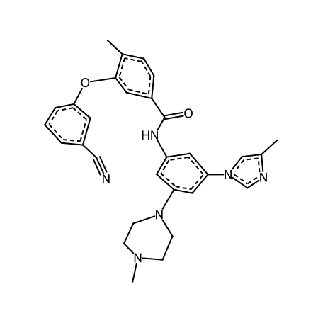 Cc1cn(-c2cc(NC(=O)c3ccc(C)c(Oc4cccc(C#N)c4)c3)cc(N3CCN(C)CC3)c2)cn1